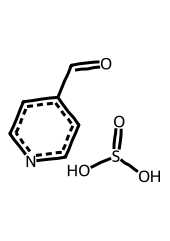 O=Cc1ccncc1.O=S(O)O